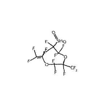 O=[SH](=O)C(F)(F)C(F)(F)OC(F)(C(F)(F)F)C(F)(F)OC(F)=C(F)F